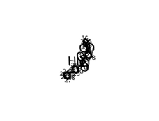 O=C(NS(=O)(=O)c1cccc(S(=O)(=O)N2CCC2)c1)c1ccc(-c2ccccc2)cc1